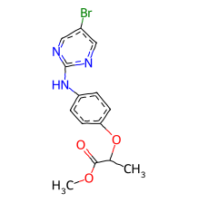 COC(=O)C(C)Oc1ccc(Nc2ncc(Br)cn2)cc1